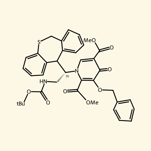 COC(=O)c1cn([C@H](CNC(=O)OC(C)(C)C)C2c3ccccc3CSc3ccccc32)c(C(=O)OC)c(OCc2ccccc2)c1=O